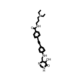 CCN(CC)CCCNC(=O)c1ccc(C#Cc2ccc(NCc3nc[nH]c(=O)c3O)cc2)cc1